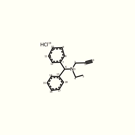 C#CCN(CC)C(c1ccccc1)c1ccccc1.Cl